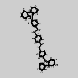 c1ccc2c(c1)c1ccccc1n2-c1ccc(CCc2ccc(CCc3ccc(-n4c5ccccc5c5ccccc54)cc3)cc2)cc1